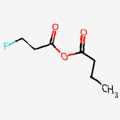 CCCC(=O)OC(=O)CCF